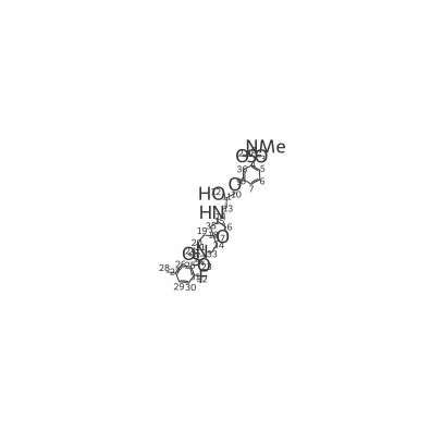 CNS(=O)(=O)c1cccc(OC[C@@H](O)CN[C@@H]2COC3(CCN(S(=O)(=O)c4cc(C)ccc4F)CC3)C2)c1